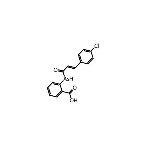 O=C(C=Cc1ccc(Cl)cc1)[AsH]c1ccccc1C(=O)O